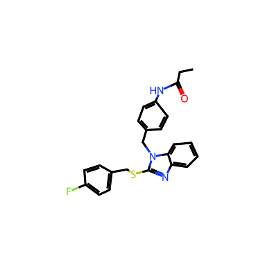 CCC(=O)Nc1ccc(Cn2c(SCc3ccc(F)cc3)nc3ccccc32)cc1